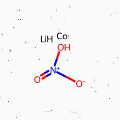 O=[N+]([O-])O.[Co].[LiH]